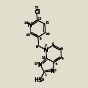 Sc1nc2cccn(Cc3ccc(Cl)nc3)c-2n1